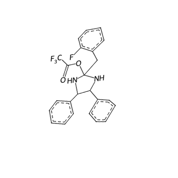 O=C(OC1(Cc2ccccc2F)NC(c2ccccc2)C(c2ccccc2)N1)C(F)(F)F